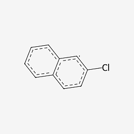 Clc1[c]c2ccccc2cc1